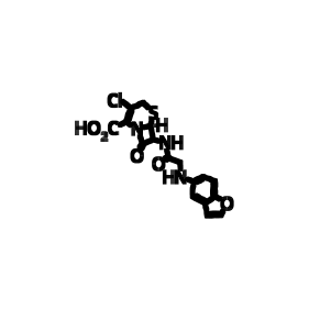 O=C(CNc1ccc2occc2c1)NC1C(=O)N2C(C(=O)O)=C(Cl)CS[C@@H]12